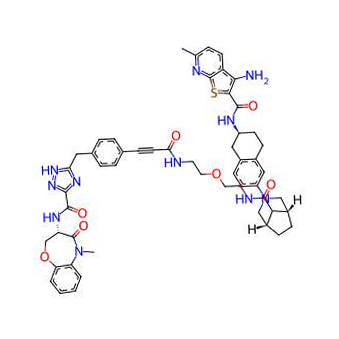 Cc1ccc2c(N)c(C(=O)N[C@H]3CCc4cc(N5C[C@H]6CC[C@@H](C5)C6C(=O)NCCOCCNC(=O)C#Cc5ccc(Cc6nc(C(=O)N[C@H]7COc8ccccc8N(C)C7=O)n[nH]6)cc5)ccc4C3)sc2n1